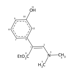 CCOC(=O)/C(=C\N(C)C)c1cccc(O)c1